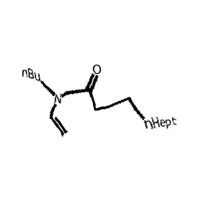 C=CN(CCCC)C(=O)CCCCCCCCC